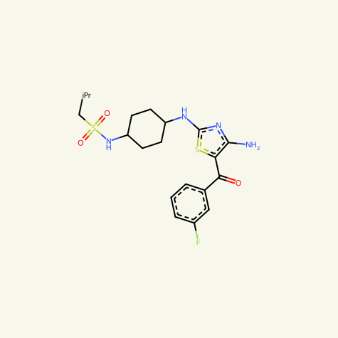 CC(C)CS(=O)(=O)NC1CCC(Nc2nc(N)c(C(=O)c3cccc(F)c3)s2)CC1